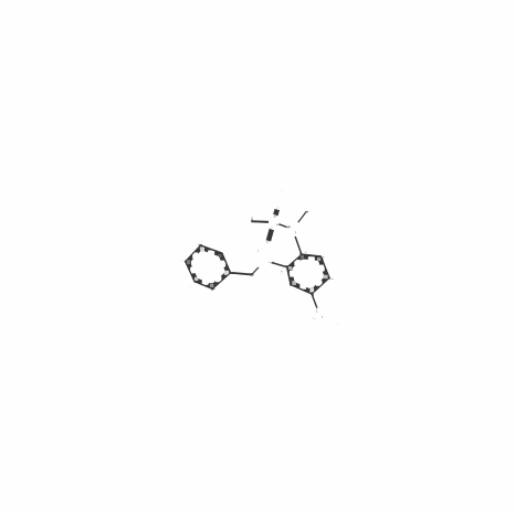 CN(c1ccc(N)cc1OCc1ccccc1)S(C)(=O)=O